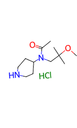 COC(C)(C)CN(C(C)=O)C1CCNCC1.Cl